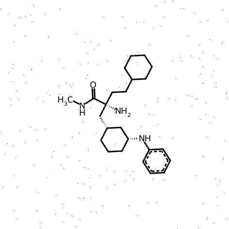 CNC(=O)[C@@](N)(CCC1CCCCC1)C[C@H]1CCC[C@@H](Nc2ccccc2)C1